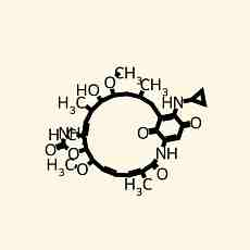 COC1C=CC=C(C)C(=O)NC2=CC(=O)C(NC3CC3)=C(CC(C)CC(OC)C(O)C(C)C=C(C)C1OC(N)=O)C2=O